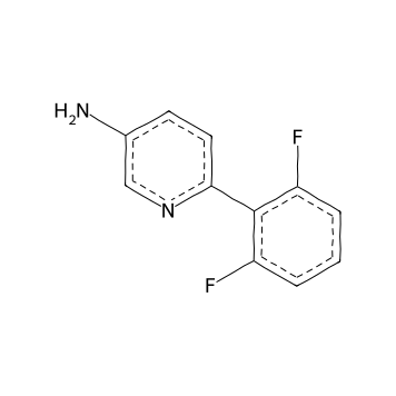 Nc1ccc(-c2c(F)cccc2F)nc1